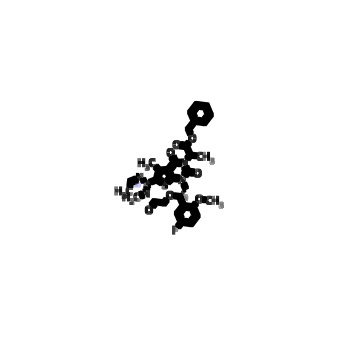 C=NN(/N=C\C)c1sc2c(c1C)c(=O)n(C(C)C(=O)OCc1ccccc1)c(=O)n2C[C@@H](OCC=O)c1cc(F)ccc1OC